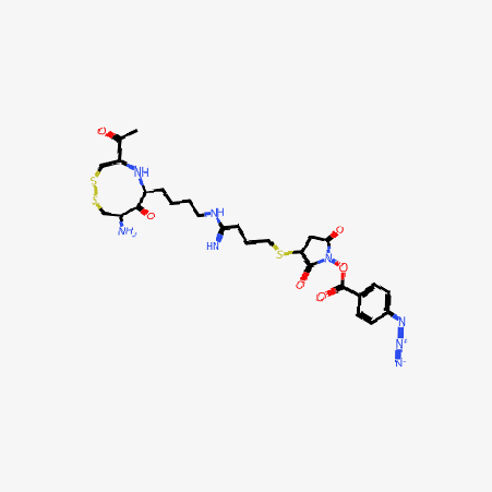 CC(=O)C1CSSCC(N)C(=O)[C@H](CCCCNC(=N)CCCSC2CC(=O)N(OC(=O)c3ccc(N=[N+]=[N-])cc3)C2=O)N1